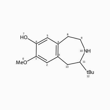 COc1cc2c(cc1O)CCNC(C(C)(C)C)C2